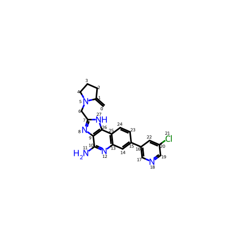 C=C1CCCN1Cc1nc2c(N)nc3cc(-c4cncc(Cl)c4)ccc3c2[nH]1